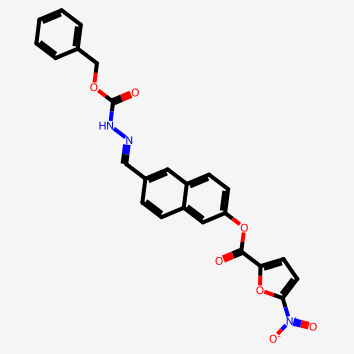 O=C(NN=Cc1ccc2cc(OC(=O)c3ccc([N+](=O)[O-])o3)ccc2c1)OCc1ccccc1